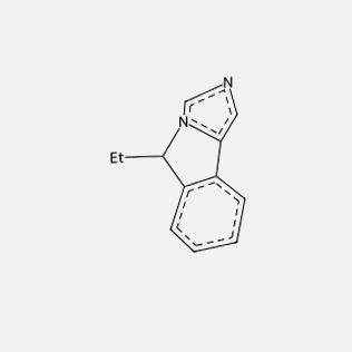 CCC1c2ccccc2-c2cncn21